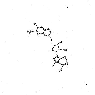 Cc1cn([C@@H]2S[C@H](CCc3ccc4cc(Br)c(N)nc4c3)[C@@H](O)[C@H]2O)c2ncnc(N)c12